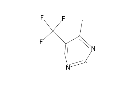 Cc1n[c]ncc1C(F)(F)F